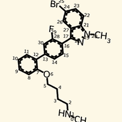 CNCCCCOc1ccccc1-c1ccc(-c2nn(C)c3ccc(Br)cc23)c(F)c1